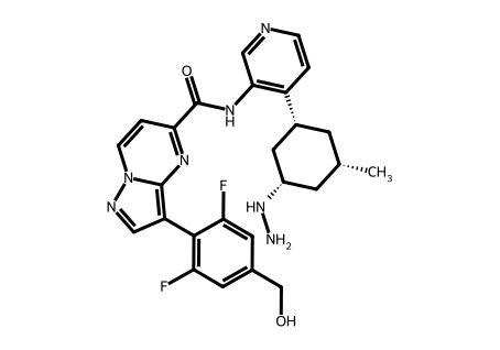 C[C@@H]1C[C@H](NN)C[C@H](c2ccncc2NC(=O)c2ccn3ncc(-c4c(F)cc(CO)cc4F)c3n2)C1